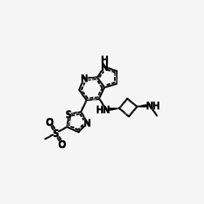 CN[C@H]1C[C@@H](Nc2c(-c3ncc(S(C)(=O)=O)s3)cnc3[nH]ccc23)C1